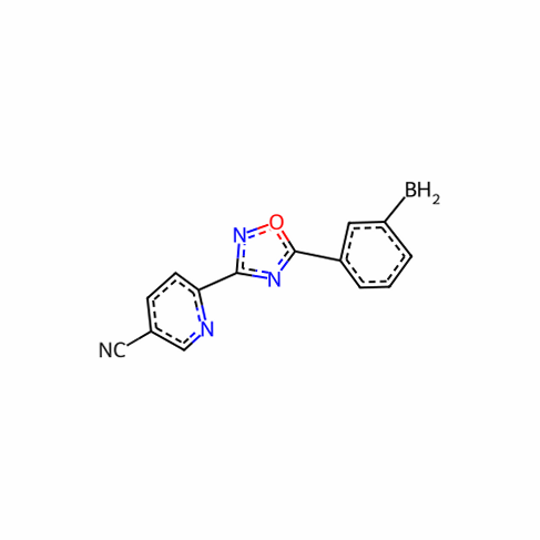 Bc1cccc(-c2nc(-c3ccc(C#N)cn3)no2)c1